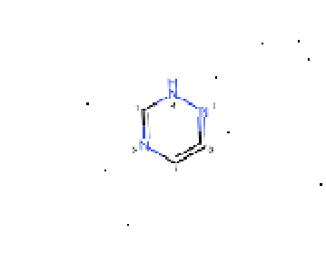 C1=CN=CNN=1